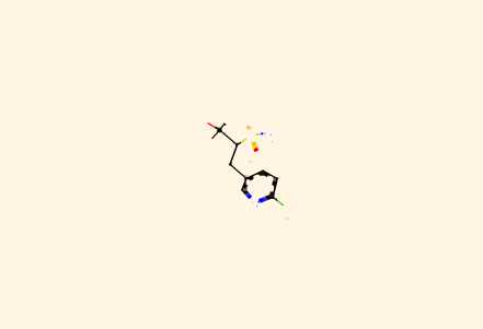 CC(C)(O)C(Cc1ccc(Cl)nc1)S(N)(=O)=O